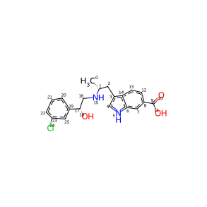 C[C@H](Cc1c[nH]c2cc(C(=O)O)ccc12)NC[C@H](O)c1cccc(Cl)c1